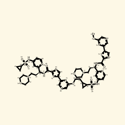 CCOc1cncc(-c2cnc(C(=O)N[C@H](CCN3CCOCC3)c3cc(NS(=O)(=O)C4CC4CCOc4cncc(-c5cnc(C(=O)N[C@@H](CCN6CCOCC6)c6cc(NS(=O)(=O)C7CC7)ccn6)s5)n4)ccn3)s2)n1